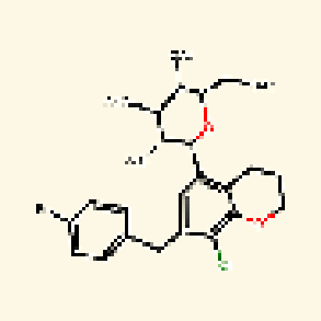 CCc1ccc(Cc2cc([C@@H]3O[C@H](COC(C)=O)[C@@H](OC(C)=O)[C@H](OC(C)=O)[C@H]3OC(C)=O)c3c(c2Cl)OCCC3)cc1